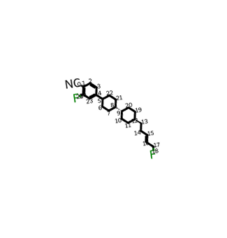 N#Cc1ccc(C2CCC([C@H]3CC[C@H](CC/C=C/CF)CC3)CC2)cc1F